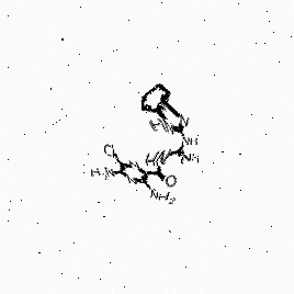 N=C(NC(=O)c1nc(Cl)c(N)nc1N)Nc1nc2ccccc2[nH]1